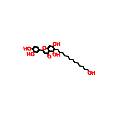 O=c1cc(-c2ccc(O)c(O)c2)oc2cc(O)c(CCCCCCCCCCCCCO)c(O)c12